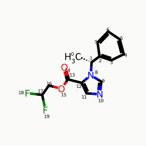 C[C@H](c1ccccc1)n1cncc1C(=O)OCC(F)F